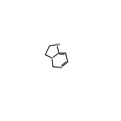 C1=NCN2CCNC2=C1